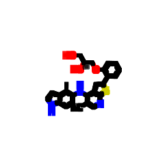 Cc1c(Nc2c(C#N)cnc3sc(-c4ccccc4OC[C@@H](O)CO)cc23)ccc2[nH]ccc12